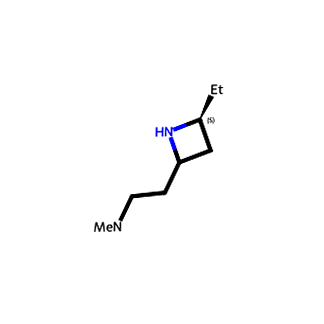 CC[C@H]1CC(CCNC)N1